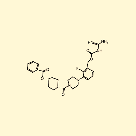 N=C(N)NC(=O)OCc1cccc(N2CCN(C(=O)[C@H]3CC[C@@H](OC(=O)c4ccccc4)CC3)CC2)c1F